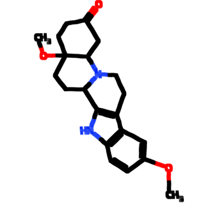 COc1ccc2[nH]c3c(c2c1)CCN1C3CCC2(OC)CCC(=O)CC12